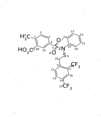 Cc1ccc(S(=O)(=O)N(SCc2ccc(C(F)(F)F)cc2C(F)(F)F)c2ccccc2)cc1C(=O)O